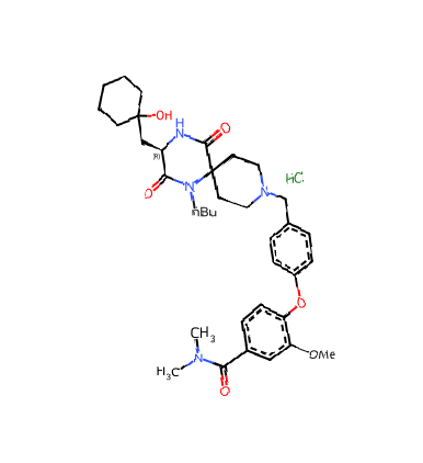 CCCCN1C(=O)[C@@H](CC2(O)CCCCC2)NC(=O)C12CCN(Cc1ccc(Oc3ccc(C(=O)N(C)C)cc3OC)cc1)CC2.Cl